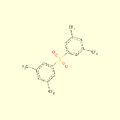 O=S(=O)(c1cc(C(F)(F)F)cc(C(F)(F)F)c1)c1cc(C(F)(F)F)cc(C(F)(F)F)c1